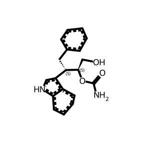 NC(=O)O[C@H](CO)[C@@H](Cc1ccccc1)c1c[nH]c2ccccc12